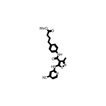 COC(=O)CCCc1ccc(NC(=O)c2c(C)nsc2Nc2cc(C#N)ccn2)cc1